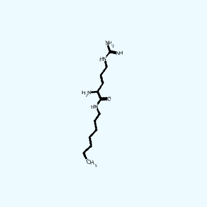 CCCCCCCNC(=O)C(N)CCCNC(=N)N